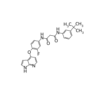 CC(C)(C)c1cccc(NC(=O)CC(=O)Nc2ccc(Oc3ccnc4[nH]ccc34)c(F)c2)c1